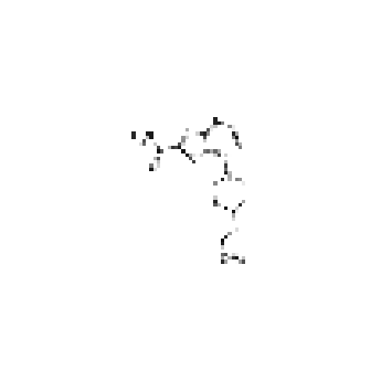 COCCN1CCN(c2ncnc3cc(C(N)=O)sc23)CC1